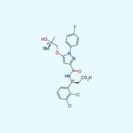 CC(C)(C)[C@](C)(O)COc1cc(C(=O)N[C@@H](CC(=O)O)c2cccc(Cl)c2Cl)nn1-c1ccc(F)cc1